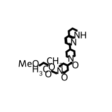 COCCC(C)(C)OC(=O)CN1CCC(C(=O)N2CCC(c3ccc4c(n3)NCCC4)CC2)CC1=O